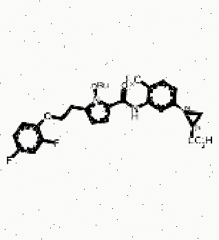 CCCCn1c(CCOc2ccc(F)cc2F)ccc1C(=O)Nc1cc([C@H]2C[C@H]2C(=O)O)ccc1C(F)(F)F